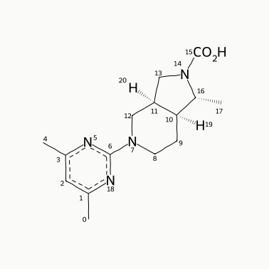 Cc1cc(C)nc(N2CC[C@H]3[C@@H](C2)CN(C(=O)O)[C@@H]3C)n1